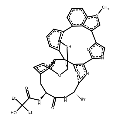 CCC(O)(CC)C(=O)N[C@H]1Cc2ccc3c(c2)[C@]24c5cccc(c5NC2O3)-c2cccc3c2c(cn3C)-c2cnc(o2)-c2nc(oc24)[C@H](C(C)C)NC1=O